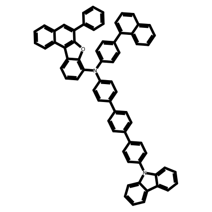 c1ccc(-c2cc3ccccc3c3c2oc2c(N(c4ccc(-c5ccc(-c6ccc(-n7c8ccccc8c8ccccc87)cc6)cc5)cc4)c4ccc(-c5cccc6ccccc56)cc4)cccc23)cc1